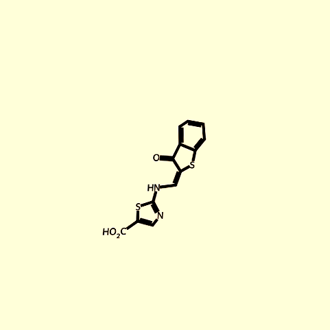 O=C(O)c1cnc(NC=C2Sc3ccccc3C2=O)s1